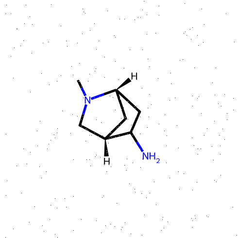 CN1C[C@@H]2C[C@H]1CC2N